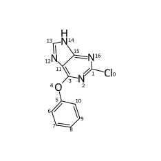 Clc1nc(Oc2ccccc2)c2nc[nH]c2n1